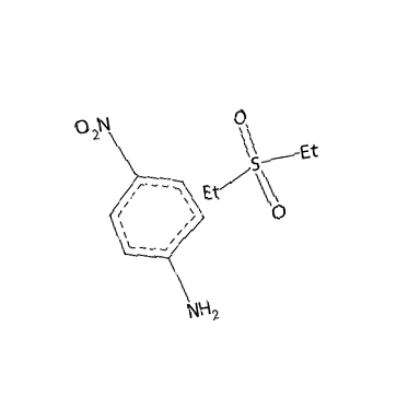 CCS(=O)(=O)CC.Nc1ccc([N+](=O)[O-])cc1